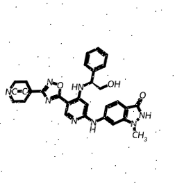 Cn1[nH]c(=O)c2ccc(Nc3cc(N[C@H](CO)c4ccccc4)c(-c4nc(C56CCN(CC5)CC6)no4)cn3)cc21